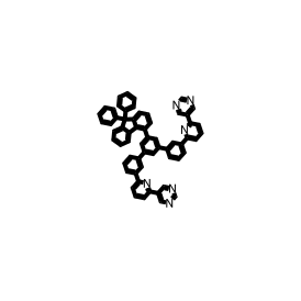 c1ccc(C2(c3ccccc3)c3ccccc3-c3c(-c4cc(-c5cccc(-c6cccc(-c7cncnc7)n6)c5)cc(-c5cccc(-c6cccc(-c7cncnc7)n6)c5)c4)cccc32)cc1